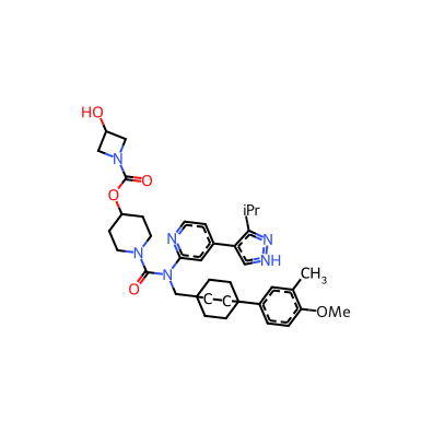 COc1ccc(C23CCC(CN(C(=O)N4CCC(OC(=O)N5CC(O)C5)CC4)c4cc(-c5c[nH]nc5C(C)C)ccn4)(CC2)CC3)cc1C